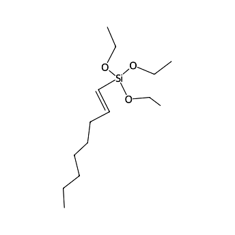 CCCCCCC=C[Si](OCC)(OCC)OCC